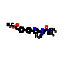 COC(=O)C[C@H]1CC[C@H](c2ccc(-c3ccc(-c4nc(C(=O)N(C)C)cn4C)cn3)cc2)CC1